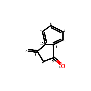 C=C1CC(=O)c2ccccc21